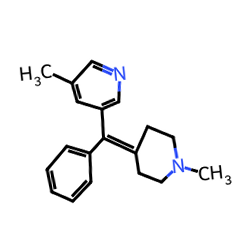 Cc1cncc(C(=C2CCN(C)CC2)c2ccccc2)c1